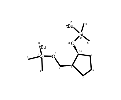 CC(C)(C)[Si](C)(C)OC[C@@H]1CCC[C@@H]1O[Si](C)(C)C(C)(C)C